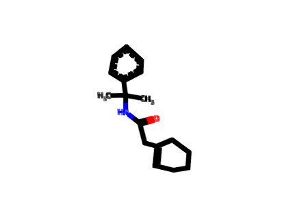 CC(C)(NC(=O)CC1=CCCCC1)c1ccccc1